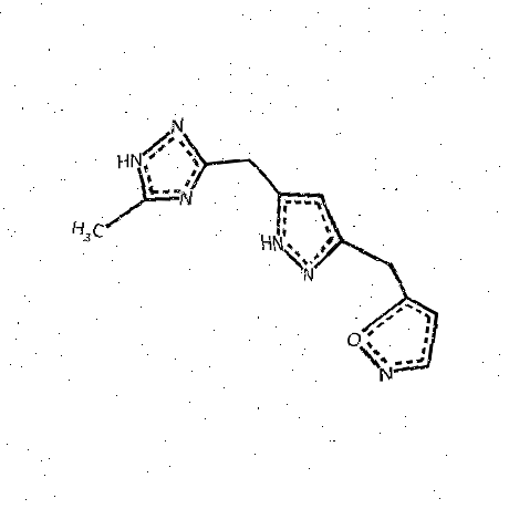 Cc1nc(Cc2cc(Cc3ccno3)n[nH]2)n[nH]1